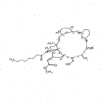 C=C1C[C@H](O)C[C@@H]2CCC[C@H](C[C@@H]3CCO[C@H](/C=C/C(C)(C)[C@]4(O)O[C@@H](C/C(=C\C(=O)OC)[C@@H]4OC(=O)CCCCCCC)C[C@H](CO)O1)O3)O2